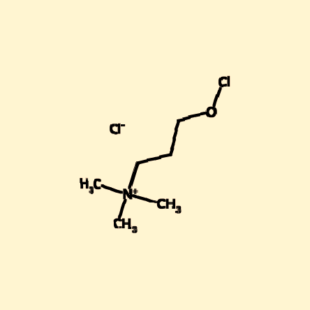 C[N+](C)(C)CCCOCl.[Cl-]